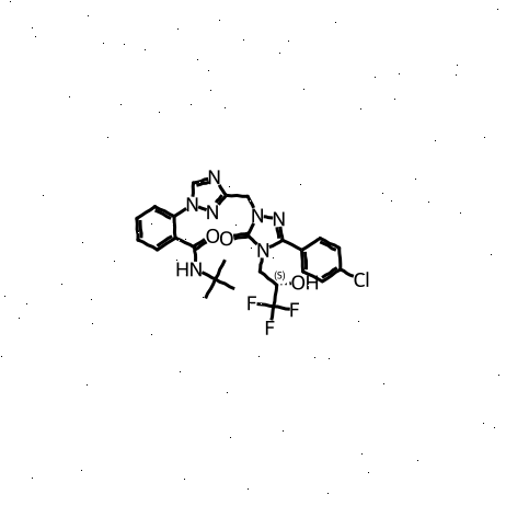 CC(C)(C)NC(=O)c1ccccc1-n1cnc(Cn2nc(-c3ccc(Cl)cc3)n(C[C@H](O)C(F)(F)F)c2=O)n1